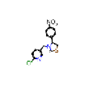 O=[N+]([O-])c1ccc(C2CS[C]N2Cc2ccc(Cl)nc2)cc1